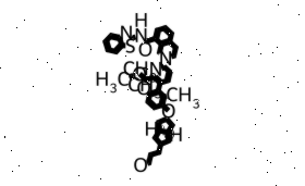 Cc1c(OC2C[C@H]3CC(CCC=O)C[C@H]3C2)cccc1-c1ccc(N2CCc3cccc(C(=O)Nc4nc5ccccc5s4)c3C2)nc1C(=O)OC(C)(C)C